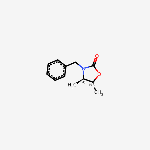 C[C@@H]1[C@@H](C)OC(=O)N1Cc1ccccc1